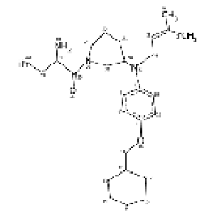 CC(C)=CCN(c1ccc(OCC2CCCCC2)cc1)C1CCCN(C(=O)C(N)CC(C)C)C1